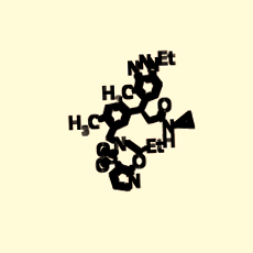 CC[C@@H]1CN(Cc2cc([C@H](CC(=O)NC3CC3)c3ccc4c(nnn4CC)c3C)ccc2C)S(=O)(=O)c2cccnc2O1